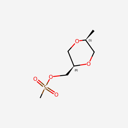 C[C@H]1CO[C@@H](COS(C)(=O)=O)CO1